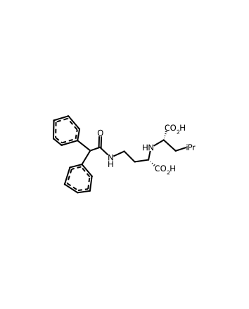 CC(C)C[C@H](N[C@@H](CCNC(=O)C(c1ccccc1)c1ccccc1)C(=O)O)C(=O)O